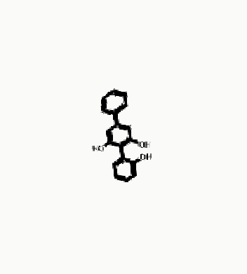 Oc1ccccc1-c1c(O)cc(-c2ccccc2)cc1O